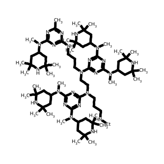 CCNCCCN(CCN(CCCNc1nc(C)nc(N(C)C2CC(C)(C)NC(C)(C)C2)n1)c1nc(N(C)C2CC(C)(C)NC(C)(C)C2)nc(N(C)C2CC(C)(C)NC(C)(C)C2)n1)c1nc(N(C)C2CC(C)(C)NC(C)(C)C2)nc(N(C)C2CC(C)(C)NC(C)(C)C2)n1